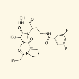 CCC(C)C(C(=O)NC(CCNC(=O)c1cc(F)cc(F)c1)C(=O)NO)N(C)C(=O)[C@@H]1CCCN1C(=O)CC(C)C